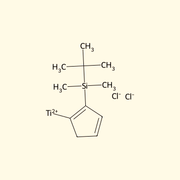 CC(C)(C)[Si](C)(C)C1=[C]([Ti+2])CC=C1.[Cl-].[Cl-]